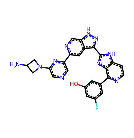 NC1CN(c2cncc(-c3cc4c(-c5nc6c(-c7cc(O)cc(F)c7)nccc6[nH]5)n[nH]c4cn3)n2)C1